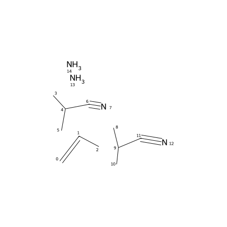 C=CC.CC(C)C#N.CC(C)C#N.N.N